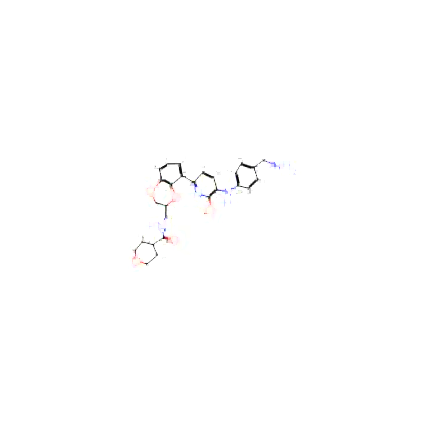 COc1nc(-c2cccc3c2OC(CNC(=O)C2CCOCC2)CO3)ccc1Nc1ccc(CN)cc1